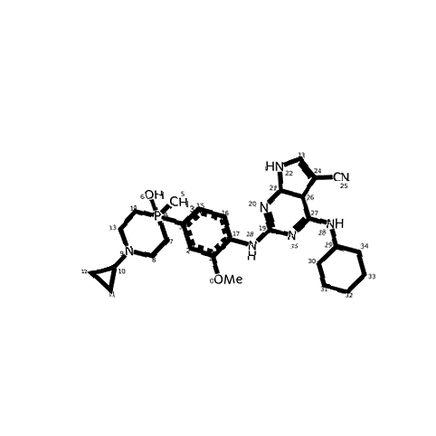 COc1cc(P2(C)(O)CCN(C3CC3)CC2)ccc1NC1=NC2NC=C(C#N)C2C(NC2CCCCC2)=N1